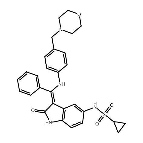 O=C1Nc2ccc(NS(=O)(=O)C3CC3)cc2/C1=C(\Nc1ccc(CN2CCOCC2)cc1)c1ccccc1